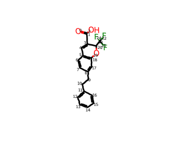 O=C(O)C1=Cc2ccc(CCc3ccccc3)cc2OC1C(F)(F)F